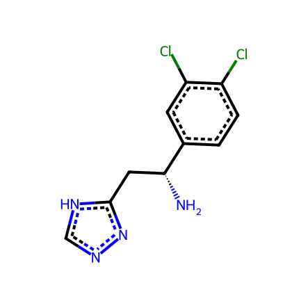 N[C@H](Cc1nnc[nH]1)c1ccc(Cl)c(Cl)c1